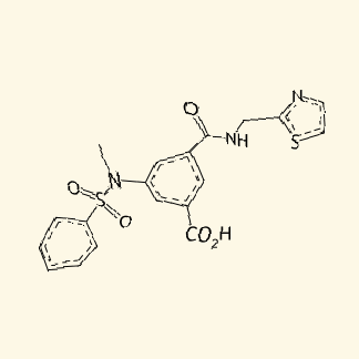 CN(c1cc(C(=O)O)cc(C(=O)NCc2nccs2)c1)S(=O)(=O)c1ccccc1